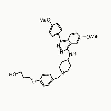 COc1ccc(-c2nnc(NC3CCN(Cc4ccc(OCCCO)cc4)CC3)c3cc(OC)ccc23)cc1